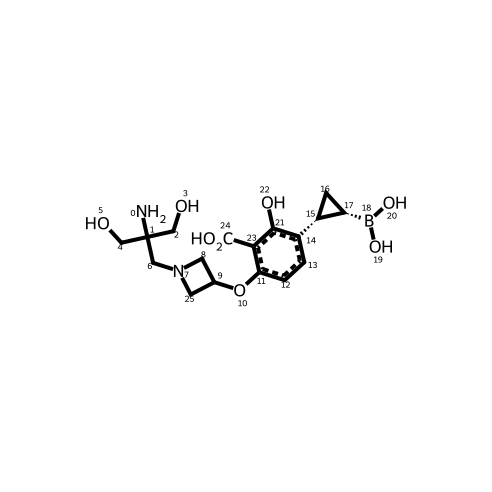 NC(CO)(CO)CN1CC(Oc2ccc([C@@H]3C[C@@H]3B(O)O)c(O)c2C(=O)O)C1